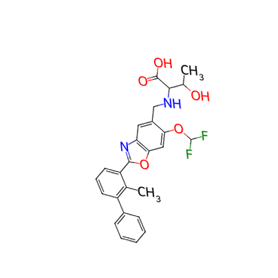 Cc1c(-c2ccccc2)cccc1-c1nc2cc(CNC(C(=O)O)C(C)O)c(OC(F)F)cc2o1